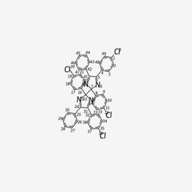 Clc1ccc(C2=NC(c3ccc(Cl)cc3)(C3(c4ccc(Cl)cc4)N=C(c4ccccc4)C(c4ccc(Cl)cc4)=N3)N=C2c2ccccc2)cc1